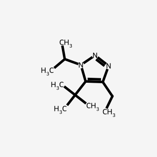 CCc1nnn(C(C)C)c1C(C)(C)C